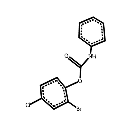 O=C(Nc1ccccc1)Oc1ccc(Cl)cc1Br